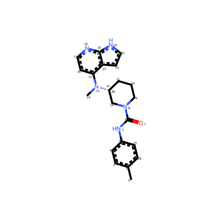 Cc1ccc(NC(=O)N2CCC[C@@H](N(C)c3ccnc4[nH]ccc34)C2)cc1